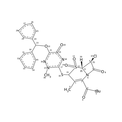 CC1=C(C(=O)C(C)(C)C)N2C(=O)[C@H](Cl)[C@H]2S(=O)(=O)C1Sc1nc(=O)c(OC(c2ccccc2)c2ccccc2)nn1C